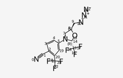 N#Cc1ccc(N2C[C@@H](CN=[N+]=[N-])O[C@@H]2C(F)(F)F)cc1C(F)(F)F